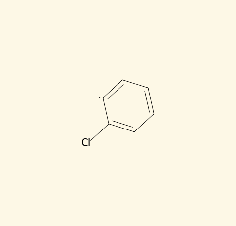 Clc1[c]cccc1